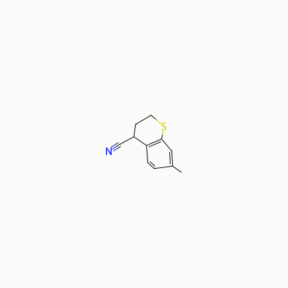 Cc1ccc2c(c1)SCCC2C#N